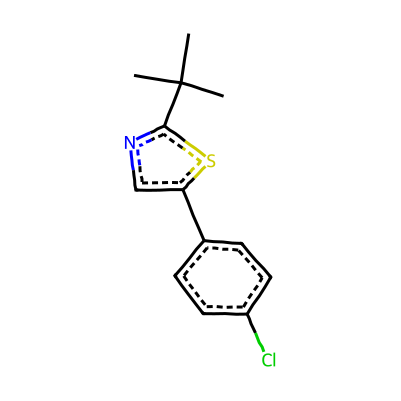 CC(C)(C)c1ncc(-c2ccc(Cl)cc2)s1